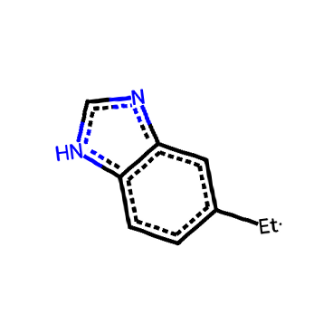 C[CH]c1ccc2[nH]cnc2c1